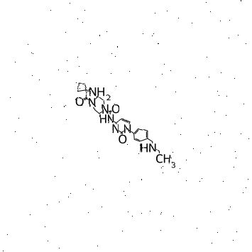 CCNCc1ccc(-n2ccc(NC(=O)N3CCN(C(=O)C4(N)CCC4)CC3)nc2=O)cc1